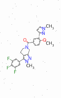 COc1ccc(C(=O)N2CCc3c(nn(C)c3-c3cc(F)c(F)c(F)c3)C2)cc1-c1ccn(C)n1